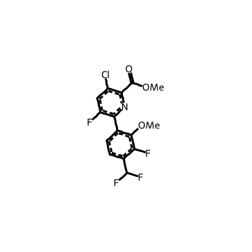 COC(=O)c1nc(-c2ccc(C(F)F)c(F)c2OC)c(F)cc1Cl